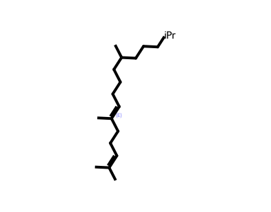 CC(C)=CCC/C(C)=C/CCCC(C)CCCC(C)C